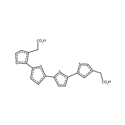 O=C(O)Cc1csc(-c2ccc(-c3ccc(-c4sccc4CC(=O)O)s3)s2)c1